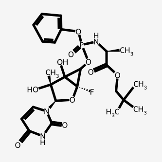 C[C@H](NP(=O)(Oc1ccccc1)OC1C2(O)[C@@](C)(O)[C@H](n3ccc(=O)[nH]c3=O)O[C@]12F)C(=O)OCC(C)(C)C